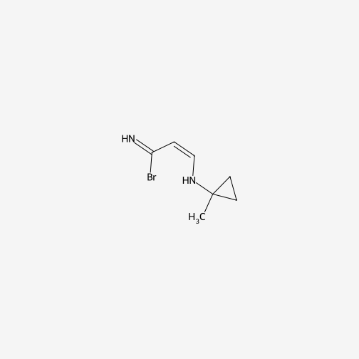 CC1(N/C=C\C(=N)Br)CC1